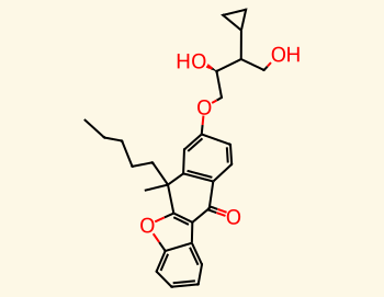 CCCCCC1(C)c2cc(OC[C@@H](O)C(CO)C3CC3)ccc2C(=O)c2c1oc1ccccc21